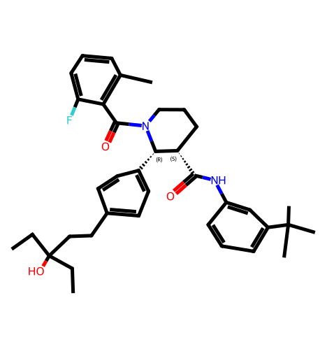 CCC(O)(CC)CCc1ccc([C@H]2[C@@H](C(=O)Nc3cccc(C(C)(C)C)c3)CCCN2C(=O)c2c(C)cccc2F)cc1